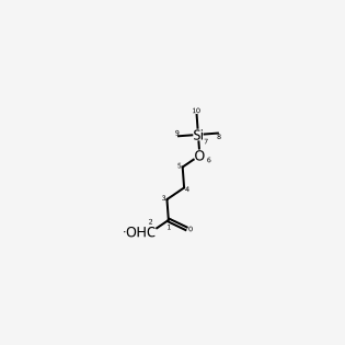 C=C([C]=O)CCCO[Si](C)(C)C